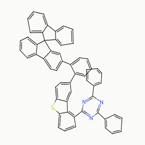 c1ccc(-c2nc(-c3ccccc3)nc(-c3cccc4sc5ccc(-c6ccccc6-c6ccc7c(c6)C6(c8ccccc8-c8ccccc86)c6ccccc6-7)cc5c34)n2)cc1